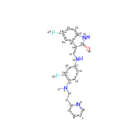 CN(CCc1ccccn1)c1ccc(NC=C2C(=O)Nc3ccc(F)cc32)cc1F